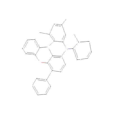 Cc1cc(C)c2c(c1)N(C1=CC=CCC1C)c1ccc(-c3ccccc3)c3c1B2c1ccccc1O3